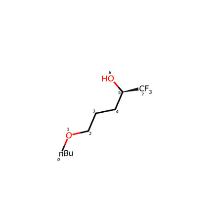 CCCCOCCC[C@@H](O)C(F)(F)F